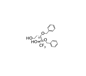 OCC[C@H](OCc1ccccc1)[C@H](OCc1ccccc1)[C@@H](O)C(F)(F)F